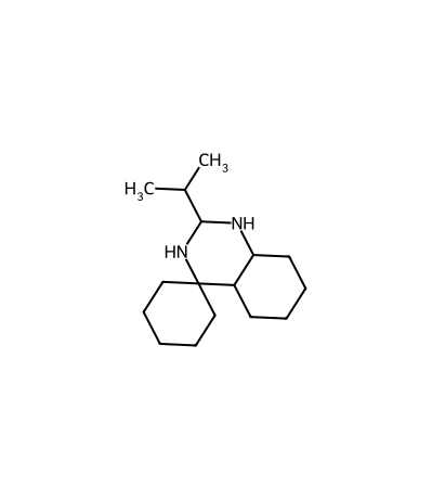 CC(C)C1NC2CCCCC2C2(CCCCC2)N1